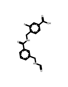 O=CNCc1cccc(C(=O)NCc2ccc(C(=O)O)cc2F)c1